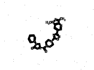 Cc1nn(C)c2cc(-c3noc(N4CCN(C(=O)[C@H]5CC(=O)N(c6ccccc6)C5)CC4)n3)cnc12